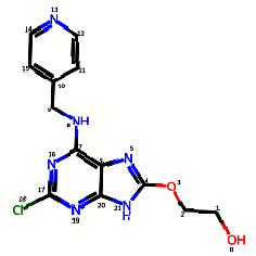 OCCOc1nc2c(NCc3ccncc3)nc(Cl)nc2[nH]1